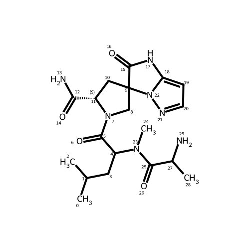 CC(C)CC(C(=O)N1CC2(C[C@H]1C(N)=O)C(=O)Nc1ccnn12)N(C)C(=O)C(C)N